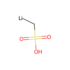 [Li][CH2]S(=O)(=O)O